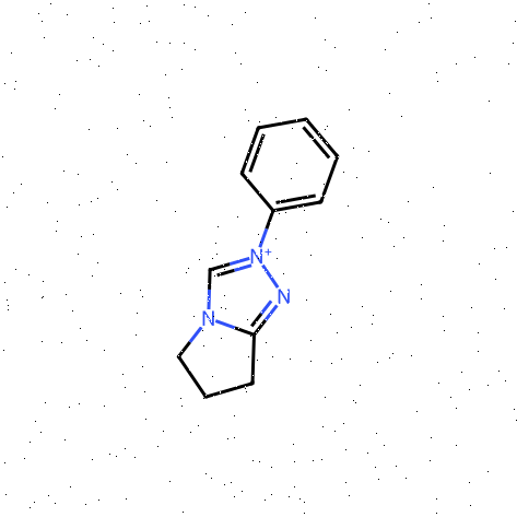 c1ccc(-[n+]2cn3c(n2)CCC3)cc1